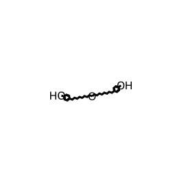 Oc1ccc(CCCCCCCCOCCCCCCCCc2ccc(O)cc2)cc1